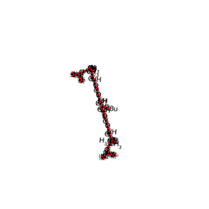 CC(C)(C)OC(=O)N[C@@H](CCC(=O)NCCCOCCOCCOCCCNC(=O)CCCCC1(C(C)(C)CCCCOc2cc(-c3ccccc3)cc(-c3ccccc3)n2)N=NN=N1)C(=O)NCCCOCCOCCOCCCNC(=O)CCCCC1(C(C)(C)CCCCOc2cc(-c3ccccc3)cc(-c3ccccc3)n2)N=NN=N1